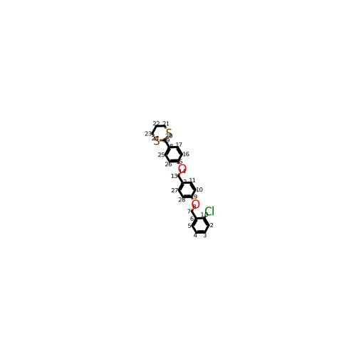 Clc1ccccc1COc1ccc(COc2ccc(C3SCCCS3)cc2)cc1